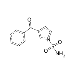 NS(=O)(=O)n1ccc(C(=O)c2ccccc2)c1